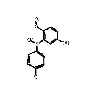 CCOc1ccc(O)cc1[S+]([O-])c1ccc(Cl)cc1